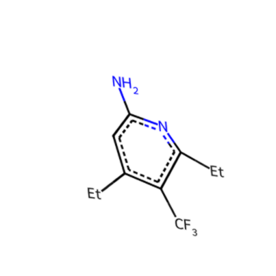 CCc1cc(N)nc(CC)c1C(F)(F)F